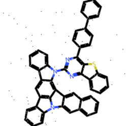 c1ccc(-c2ccc(-c3nc(-n4c5ccccc5c5cc6c7ccccc7n7c8cc9ccccc9cc8c(c54)c67)nc4c3sc3ccccc34)cc2)cc1